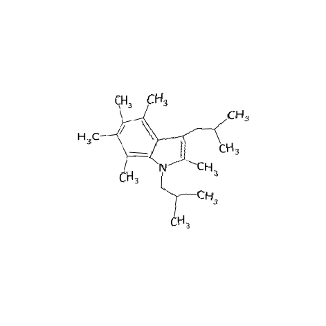 Cc1c(C)c(C)c2c(c1C)c(CC(C)C)c(C)n2CC(C)C